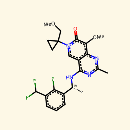 COCC1(n2cc3c(N[C@H](C)c4cccc(C(F)F)c4F)nc(C)nc3c(OC)c2=O)CC1